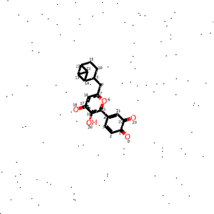 O=C1C=CC(c2oc(CC3CCC4C5C3C45)cc(=O)c2O)=CC1=O